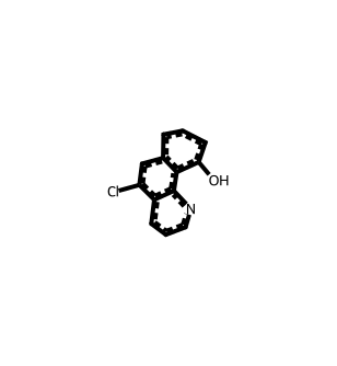 Oc1cccc2cc(Cl)c3cccnc3c12